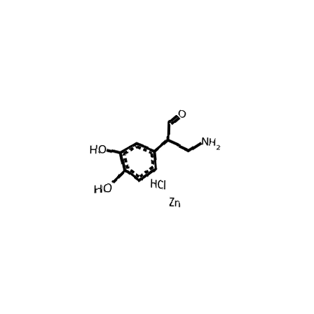 Cl.NCC(C=O)c1ccc(O)c(O)c1.[Zn]